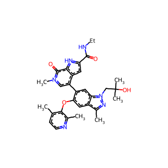 CCNC(=O)c1cc2c(-c3cc4c(cc3Oc3c(C)ccnc3C)c(C)nn4CC(C)(C)O)cn(C)c(=O)c2[nH]1